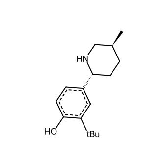 C[C@H]1CC[C@H](c2ccc(O)c(C(C)(C)C)c2)NC1